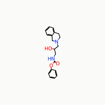 O=C(NCC(O)CN1CCc2ccccc2C1)Oc1ccccc1